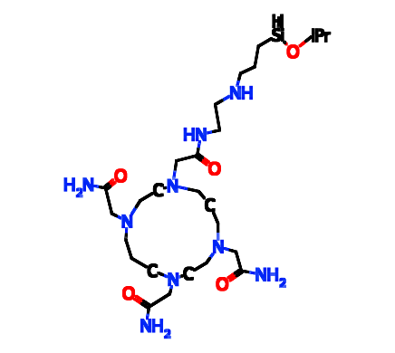 CC(C)O[SiH](C)CCCNCCNC(=O)CN1CCCN(CC(N)=O)CCN(CC(N)=O)CCCN(CC(N)=O)CC1